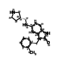 Cc1ccccc1Cn1c(=O)[nH]c2cnc(NC[C@@H]3CCNC3)nc21